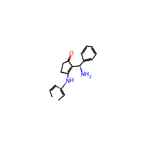 C/C=C\C(=C/C)NC1=C([C@H](N)c2ccccc2)C(=O)CC1